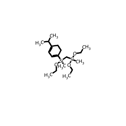 CCO[Si](C)(C[Si](C)(OCC)C1=CC=C(C(C)C)CC1)OCC